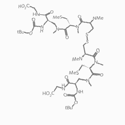 CN[C@@H](CSSC[C@H](NC)C(=O)N(C)[C@@H](CSC)C(=O)N(C)C[C@@H](NC(=O)OC(C)(C)C)C(=O)NCC(=O)O)C(=O)N(C)[C@@H](CSC)C(=O)N(C)C[C@@H](NC(=O)OC(C)(C)C)C(=O)NCC(=O)O